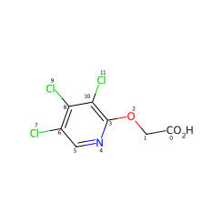 O=C(O)COc1ncc(Cl)c(Cl)c1Cl